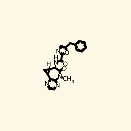 CN1C(=O)[C@H](NC(=O)c2ncc(Cc3ccccc3)o2)[C@@H]2CC2c2nccnc21